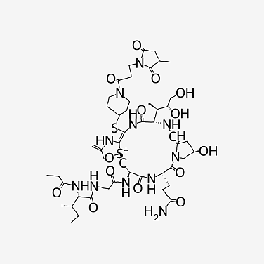 C=C(C)N/C1=C(\SC2CCN(C(=O)CCN3C(=O)CC(C)C3=O)CC2)NC(=O)[C@H]([C@@H](C)[C@@H](O)CO)NC[C@@H]2C[C@@H](O)CN2C(=O)[C@H](CCC(N)=O)NC(=O)[C@@H](NC(=O)CNC(=O)[C@@H](NC(=O)CC)[C@@H](C)CC)C[S+]1[O-]